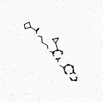 O=C(NCCCNc1nc(Nc2ccc3nccn3c2)ncc1C1CC1)C1CCC1